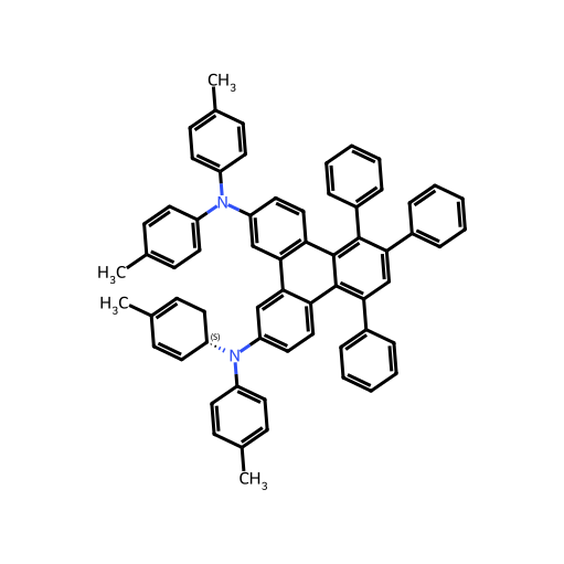 CC1=CC[C@H](N(c2ccc(C)cc2)c2ccc3c(c2)c2cc(N(c4ccc(C)cc4)c4ccc(C)cc4)ccc2c2c(-c4ccccc4)c(-c4ccccc4)cc(-c4ccccc4)c32)C=C1